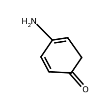 NC1=CCC(=O)C=C1